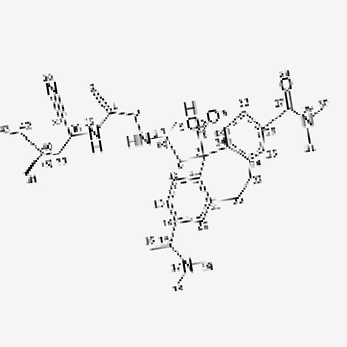 C=C(CN[C@H](C)CC1(C(=O)O)c2ccc(C(=C)N(C)C)cc2CCc2cc(C(=O)N(C)C)ccc21)NC(C#N)C[C@@H](C)CC